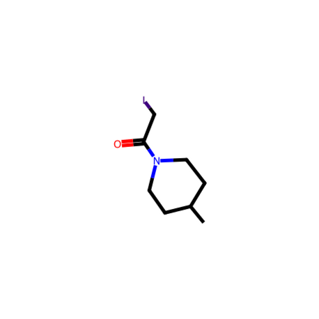 CC1CCN(C(=O)CI)CC1